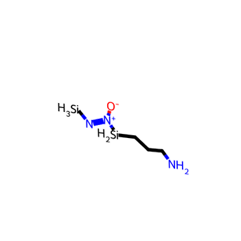 NCCC[SiH2][N+]([O-])=N[SiH3]